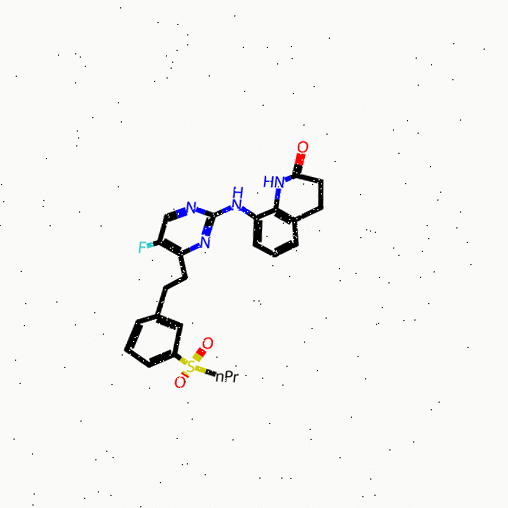 CCCS(=O)(=O)c1cccc(CCc2nc(Nc3cccc4c3NC(=O)CC4)ncc2F)c1